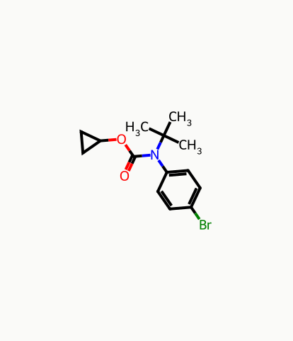 CC(C)(C)N(C(=O)OC1CC1)c1ccc(Br)cc1